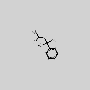 CC(OC(C)(C)c1ccccc1)C(=O)O